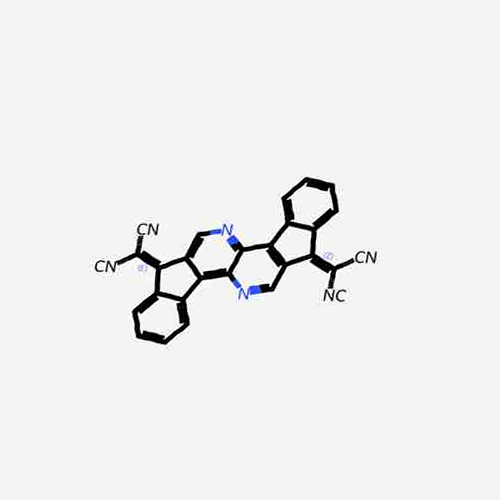 [C-]#[N+]/C(C#N)=C1/c2ccccc2-c2c1cnc1c3c(cnc21)/C(=C(\C#N)[N+]#[C-])c1ccccc1-3